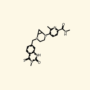 CNC(=O)c1ccc(N2CCN(Cc3ccc4c(=S)n(C)c(=O)[nH]c4c3)C3CC32)c(C)n1